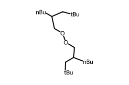 CCCCC(COOCC(CCCC)CC(C)(C)C)CC(C)(C)C